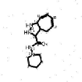 O=C(NN1CCCCC1)C1NNC2C=CC=CCC21